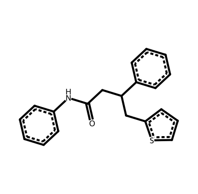 O=C(CC(Cc1cccs1)c1ccccc1)Nc1ccccc1